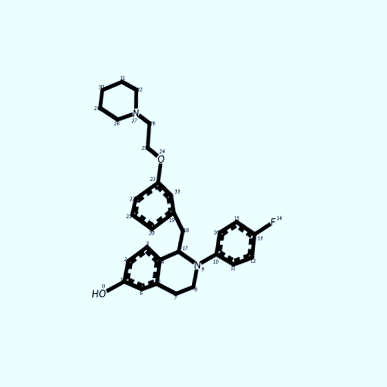 Oc1ccc2c(c1)CCN(c1ccc(F)cc1)C2Cc1cccc(OCCN2CCCCC2)c1